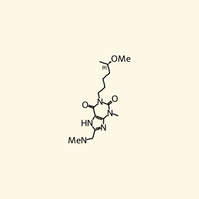 CNCc1nc2c([nH]1)c(=O)n(CCCC[C@@H](C)OC)c(=O)n2C